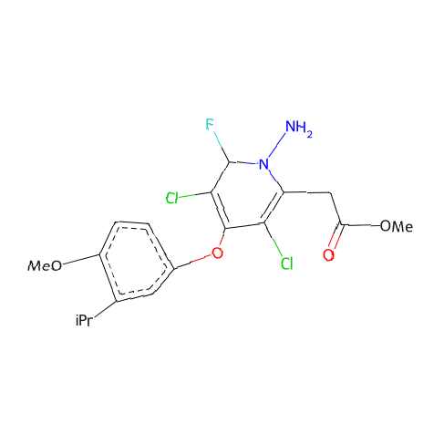 COC(=O)CC1=C(Cl)C(Oc2ccc(OC)c(C(C)C)c2)=C(Cl)C(F)N1N